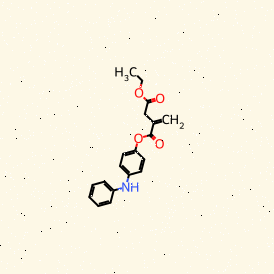 C=C(CC(=O)OCC)C(=O)Oc1ccc(Nc2ccccc2)cc1